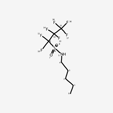 CCCCCNS(=O)(=O)C(F)(F)C(F)(F)C(F)(F)F